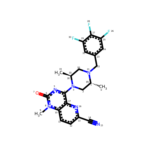 C[C@@H]1CN(c2nc(=O)n(C)c3ccc(C#N)nc23)[C@@H](C)CN1Cc1cc(F)c(F)c(F)c1